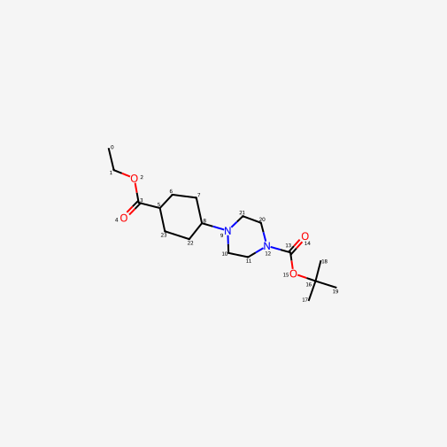 CCOC(=O)C1CCC(N2CCN(C(=O)OC(C)(C)C)CC2)CC1